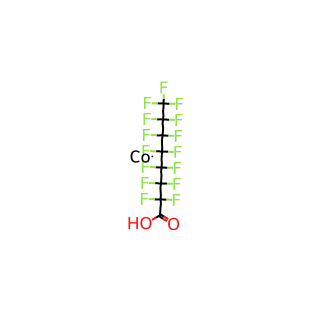 O=C(O)C(F)(F)C(F)(F)C(F)(F)C(F)(F)C(F)(F)C(F)(F)C(F)(F)F.[Co]